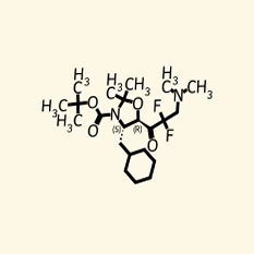 CN(C)CC(F)(F)C(=O)[C@@H]1OC(C)(C)N(C(=O)OC(C)(C)C)[C@H]1CC1CCCCC1